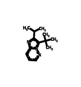 CC(C)c1nc2cccnn2c1C(C)(C)C